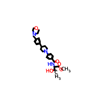 COC(=O)C(NC(=O)c1ccc(N2CCC(c3ccc(CN4CCOCC4)cc3)CC2)cc1)[C@@H](C)O